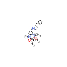 CCN1C(=O)C(C)(C)C(=O)N(C)c2cc(CN3CCCC(Cc4ccccc4)C3)ccc21